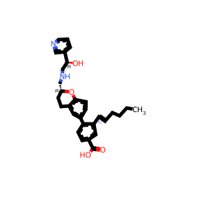 CCCC/C=C/c1cc(C(=O)O)ccc1-c1ccc2c(c1)CC[C@H](CNC[C@H](O)c1cccnc1)O2